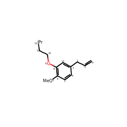 C=CCc1ccc(OC)c(OCCC(C)C)c1